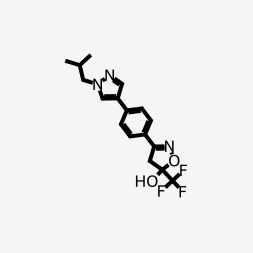 CC(C)Cn1cc(-c2ccc(C3=NOC(O)(C(F)(F)F)C3)cc2)cn1